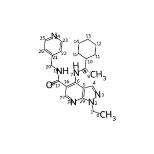 CCn1ncc2c(N[C@@H](C)C3CCCCC3)c(C(=O)NCc3ccncc3)cnc21